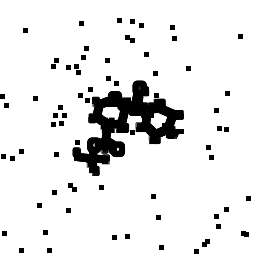 CC(C)(C)OC(=O)N1CCOC(C(=O)N2CC[CH]CC2)C1